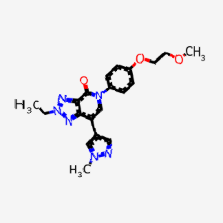 CCn1nc2c(-c3cnn(C)c3)cn(-c3ccc(OCCOC)cc3)c(=O)c2n1